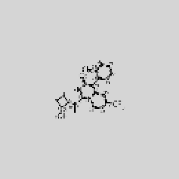 O=c1nc(N[C@@H]2CC[C@H]2O)n2ccc(C(F)(F)F)cc2c1-c1ccccc1Cl